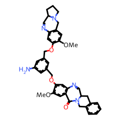 COc1cc2c(cc1OCc1cc(N)cc(COc3cc4c(cc3OC)C(=O)N3Cc5ccccc5CC3C=N4)c1)N=CC1CCCN1C2